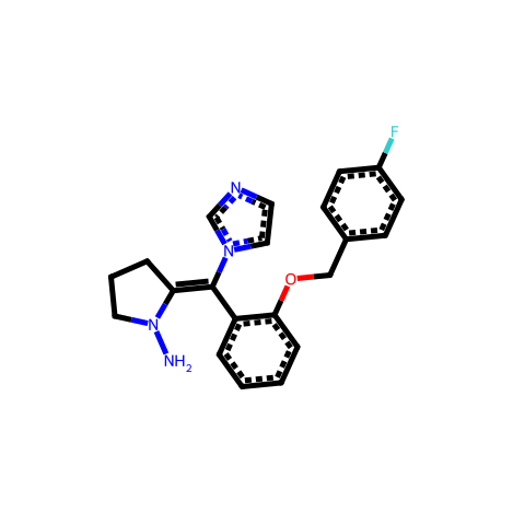 NN1CCCC1=C(c1ccccc1OCc1ccc(F)cc1)n1ccnc1